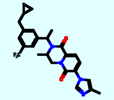 Cc1cn(-c2ccc3n(c2=O)CC(C)N(C(C)c2cc(CC4CC4)cc(C(F)(F)F)c2)C3=O)cn1